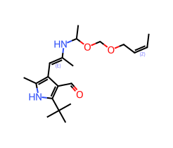 C/C=C\COCOC(C)N/C(C)=C/c1c(C)[nH]c(C(C)(C)C)c1C=O